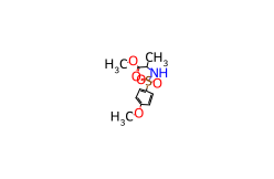 COC(=O)C(C)NS(=O)(=O)c1ccc(OC)cc1